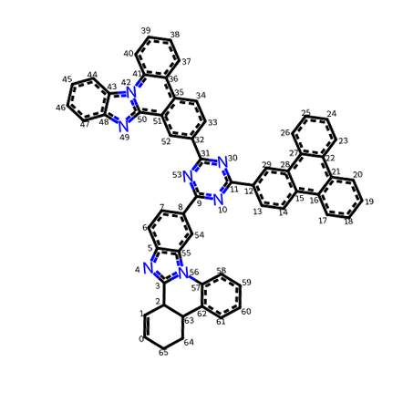 C1=CC2c3nc4ccc(-c5nc(-c6ccc7c8ccccc8c8ccccc8c7c6)nc(-c6ccc7c8ccccc8n8c9ccccc9nc8c7c6)n5)cc4n3-c3ccccc3C2CC1